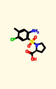 Cc1cc(N)c(S(=O)(=O)N2CCC[C@H]2C(=O)O)cc1Cl